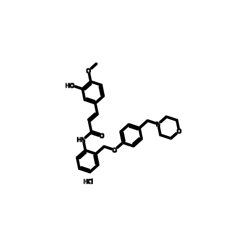 COc1ccc(C=CC(=O)Nc2ccccc2COc2ccc(CN3CCOCC3)cc2)cc1O.Cl